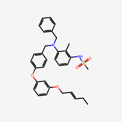 CCC=CCOc1cccc(Oc2ccc(CN(Cc3ccccc3)c3cccc(NS(C)(=O)=O)c3C)cc2)c1